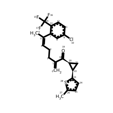 C=C(CC/C=C(/C)c1cc(Cl)ccc1C(F)(F)F)C(=O)[C@H]1C[C@H]1c1ccc(C)s1